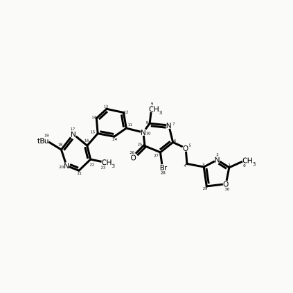 Cc1nc(COc2nc(C)n(-c3cccc(-c4nc(C(C)(C)C)ncc4C)c3)c(=O)c2Br)co1